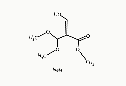 COC(=O)C(=CO)C(OC)OC.[NaH]